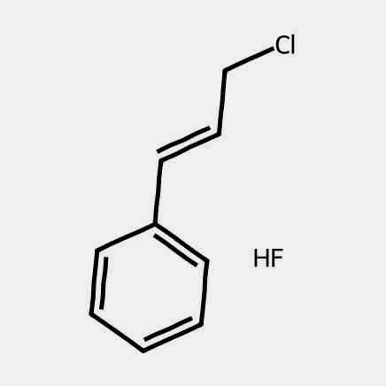 ClCC=Cc1ccccc1.F